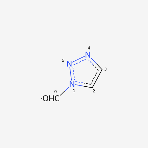 O=[C]n1ccnn1